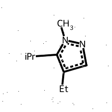 CCc1cnn(C)c1C(C)C